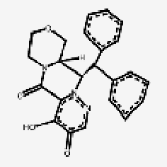 O=C1c2c(O)c(=O)cnn2[C@H](C(c2ccccc2)c2ccccc2)[C@H]2COCCN12